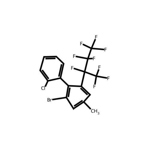 Cc1[c]c(Br)c(-c2ccccc2Cl)c(C(F)(C(F)(F)F)C(F)(F)C(F)(F)F)c1